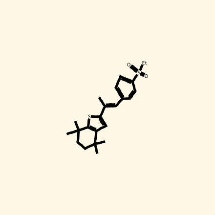 CCS(=O)(=O)c1ccc(/C=C(\C)c2cc3c(s2)C(C)(C)CCC3(C)C)cc1